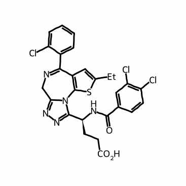 CCc1cc2c(s1)-n1c(nnc1[C@H](CCC(=O)O)NC(=O)c1ccc(Cl)c(Cl)c1)CN=C2c1ccccc1Cl